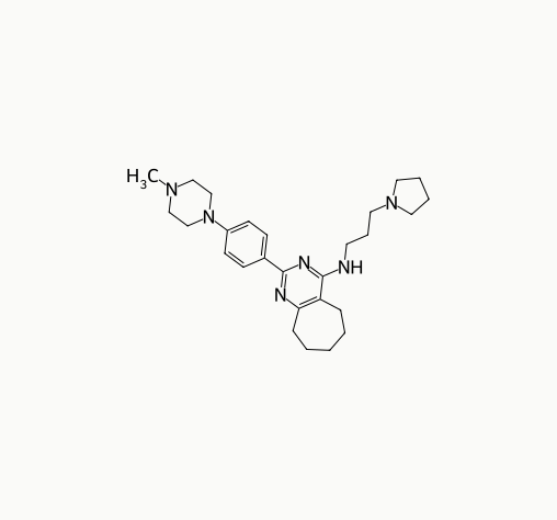 CN1CCN(c2ccc(-c3nc4c(c(NCCCN5CCCC5)n3)CCCCC4)cc2)CC1